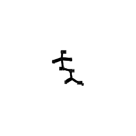 NC(=S)NNS(=O)(O)=S